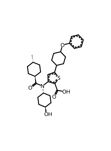 C[C@H]1CC[C@H](C(=O)N(c2cc(C3CCC(Oc4ccccc4)CC3)sc2C(=O)O)[C@H]2CC[C@H](O)CC2)CC1